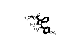 CCOC(=O)c1c(C)n(C(C)c2ccc(C)cc2)c2ccccc12